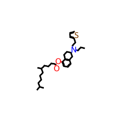 CCCN(CCc1cccs1)C1CCc2c(cccc2OC(=O)CCCC(C)CCCCC(C)C)C1